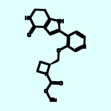 CC(C)(C)OC(=O)N1CC[C@@H]1COc1cnccc1-c1cc2c([nH]1)CCNC2=O